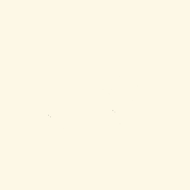 NS(=O)(=O)c1ccc(NC(=O)c2ccccc2SSc2ccccc2C(=O)O)cc1